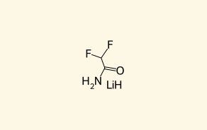 NC(=O)C(F)F.[LiH]